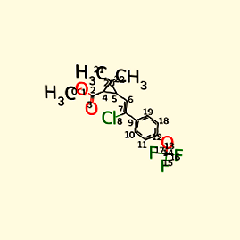 COC(=O)C1C(C=C(Cl)c2ccc(OC(F)(F)F)cc2)C1(C)C